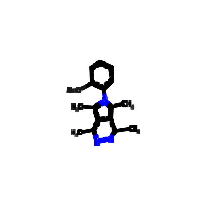 COc1ccccc1-n1c(C)c2c(C)nnc(C)c2c1C